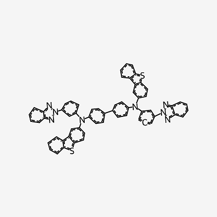 c1cc(N(c2ccc(-c3ccc(N(c4cccc(-n5nc6ccccc6n5)c4)c4ccc5sc6ccccc6c5c4)cc3)cc2)c2ccc3sc4ccccc4c3c2)cc(-n2nc3ccccc3n2)c1